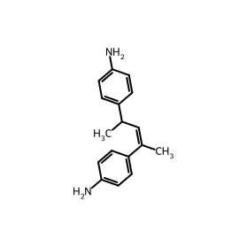 CC(=CC(C)c1ccc(N)cc1)c1ccc(N)cc1